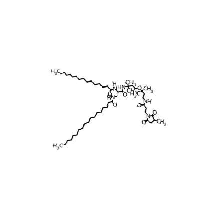 CCCCCCCCCCCCCCCCCC(=O)NC[C@H](NC(=O)CCCCCCCCCCCCCCC)C(=O)NC(C)(C)CCOC(C)(C)CCNC(=O)CCN1C(=O)CC(C)C1=O